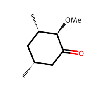 CO[C@H]1C(=O)C[C@H](C)C[C@@H]1C